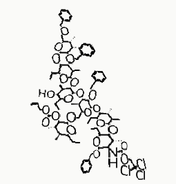 C=CCOC(=O)OC1[C@@H](OCC2O[C@@H](O[C@@H]3C(CC)O[C@@H](O[C@@H]4C(CC)O[C@@H](OCc5ccccc5)C(NC(=O)OCC(Cl)(Cl)Cl)[C@H]4C)C(C)[C@H]3C)C(OCc3ccccc3)[C@@H](O[C@@H]3OC(CC)[C@H](O)C(C)[C@@H]3O[C@@H]3OC(CC)[C@@H](O[C@@H]4OC(COCc5ccccc5)[C@H](C)[C@H](C)C4OCc4ccccc4)[C@H](C)C3C)[C@@H]2C)OC(CC)[C@@H](C)[C@@H]1C